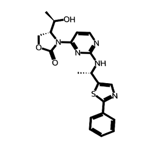 C[C@H](Nc1nccc(N2C(=O)OC[C@@H]2[C@@H](C)O)n1)c1cnc(-c2ccccc2)s1